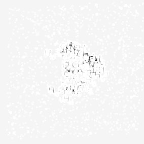 CC(=O)N1C(C)(C)CC(O[Si](C)(OC2CC(C)(C)N(C(C)=O)C(C)(C)C2)OC2CC(C)(C)N(C(C)=O)C(C)(C)C2)CC1(C)C